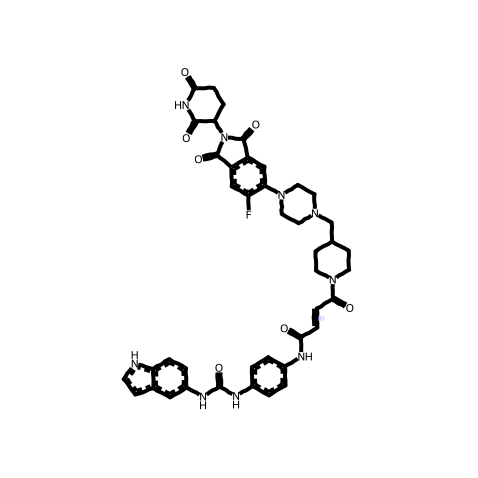 O=C(/C=C/C(=O)N1CCC(CN2CCN(c3cc4c(cc3F)C(=O)N(C3CCC(=O)NC3=O)C4=O)CC2)CC1)Nc1ccc(NC(=O)Nc2ccc3[nH]ccc3c2)cc1